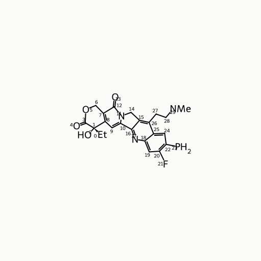 CC[C@@]1(O)C(=O)OCc2c1cc1n(c2=O)Cc2c-1nc1cc(F)c(P)cc1c2CCNC